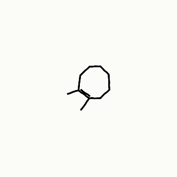 C/C1=C(\C)CCCCCC1